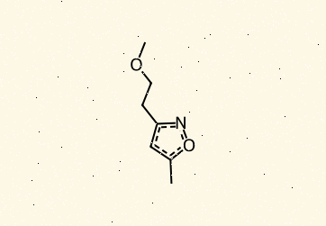 COCCc1cc(C)on1